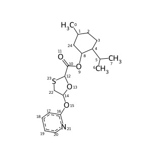 CC1CCC(C(C)C)C(OC(=O)C2OC(Oc3ccccn3)CS2)C1